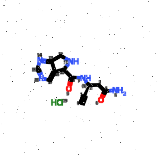 C#C[C@H](CC(N)=O)NC(=O)C1NCc2ncncc21.Cl